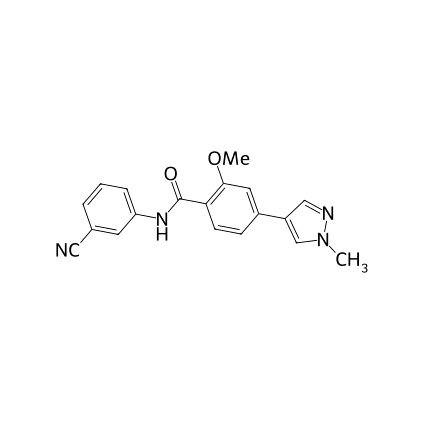 COc1cc(-c2cnn(C)c2)ccc1C(=O)Nc1cccc(C#N)c1